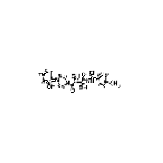 Cc1ccc([C@H](C)NC(=O)C(O)C(O)C(=O)N2CCN(c3ccccc3O)CC2)cc1